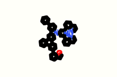 c1ccc(-c2ccc3c(c2)c2cc4c5ccccc5c5cc(-c6cccc7ccoc67)ccc5c4cc2n3-c2cc(-c3cccc4cccnc34)nc(-c3cccc4cccnc34)c2)cc1